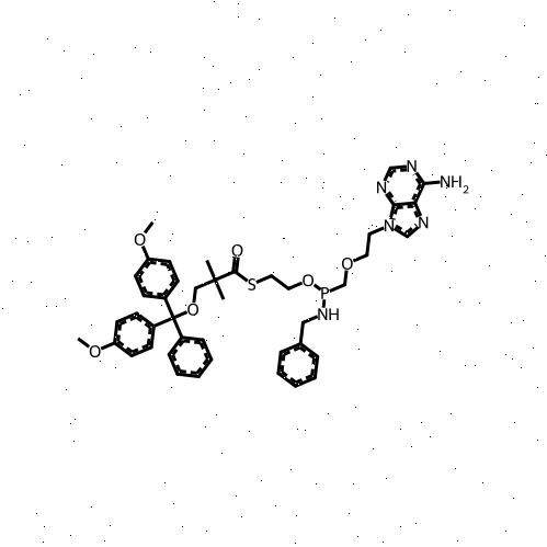 COc1ccc(C(OCC(C)(C)C(=O)SCCOP(COCCn2cnc3c(N)ncnc32)NCc2ccccc2)(c2ccccc2)c2ccc(OC)cc2)cc1